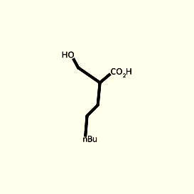 CCCCCCC(CO)C(=O)O